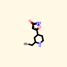 CC(C)(C)CC1CC(c2cc(=O)[nH]o2)CCN1